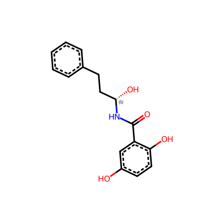 O=C(N[C@@H](O)CCc1ccccc1)c1cc(O)ccc1O